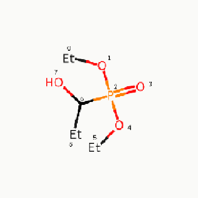 CCOP(=O)(OCC)C(O)CC